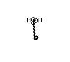 OP(O)OCCCCCCCCc1ccccc1